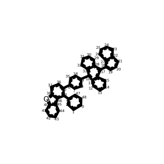 c1ccc(-c2c(-c3ccc(-c4c5ccccc5c(-c5cccc6ccccc56)c5ccccc45)cc3)ccc3oc4ccccc4c23)cc1